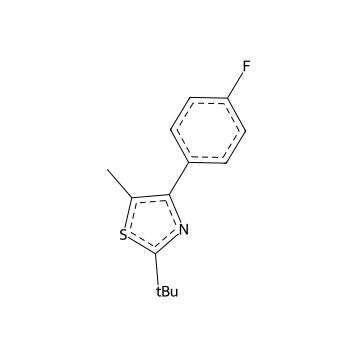 Cc1sc(C(C)(C)C)nc1-c1ccc(F)cc1